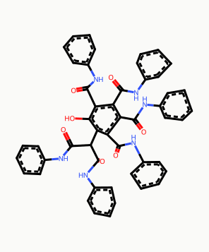 O=C(Nc1ccccc1)c1c(O)c(C(C(=O)Nc2ccccc2)C(=O)Nc2ccccc2)c(C(=O)Nc2ccccc2)c(C(=O)Nc2ccccc2)c1C(=O)Nc1ccccc1